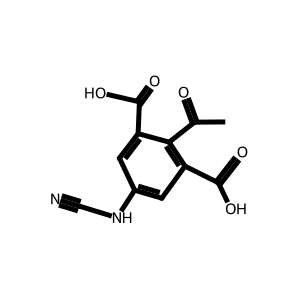 CC(=O)c1c(C(=O)O)cc(NC#N)cc1C(=O)O